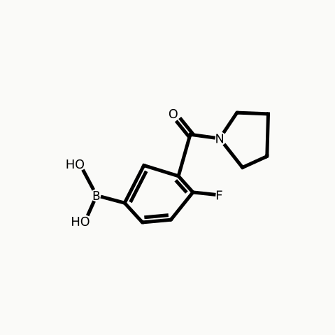 O=C(c1cc(B(O)O)ccc1F)N1CCCC1